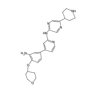 Nc1cc(-c2ccnc(Nc3cnc(C4CCNCC4)cn3)c2)ccc1OC1CCOCC1